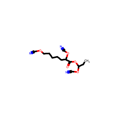 CCC(OC#N)OC(=O)C(CCCCCOC#N)OC#N